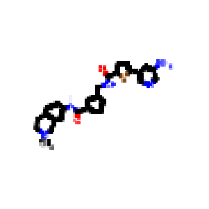 CN1CCc2ccc(NC(=O)c3cccc(CNC(=O)C4CC=C(c5cncc(N)c5)S4)c3)cc2C1